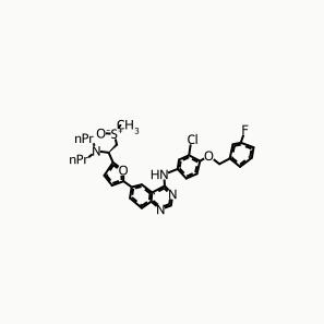 CCCN(CCC)[C@@H](C[S+](C)[O-])c1ccc(-c2ccc3ncnc(Nc4ccc(OCc5cccc(F)c5)c(Cl)c4)c3c2)o1